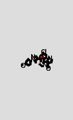 COc1ccc(-n2ncc(C(=O)N3CCN4C(=O)c5ccncc5C43c3ccc(Cl)cc3)c2C)cc1